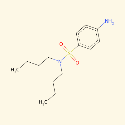 CCCCN(CCCC)S(=O)(=O)c1ccc(N)cc1